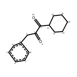 O=C(Cc1ccccc1)C(=O)C1CCCCC1